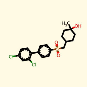 CC1(O)CCC(CS(=O)(=O)c2ccc(-c3ccc(Cl)cc3Cl)cc2)CC1